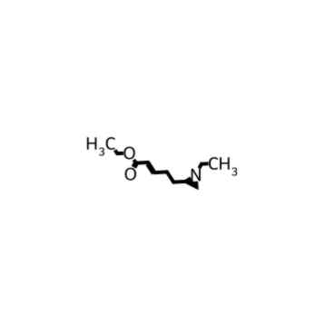 CCOC(=O)/C=C/CCC1=CN1CC